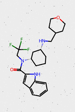 O=C(c1cc2ccccc2[nH]1)N(CC(F)(F)F)[C@H]1CCC[C@@H](NCC2CCOCC2)C1